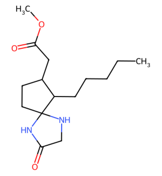 CCCCCC1C(CC(=O)OC)CCC12NCC(=O)N2